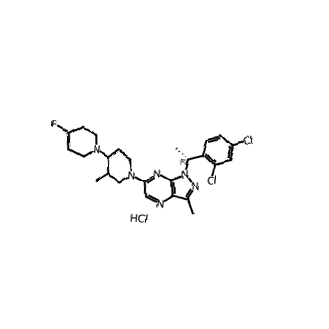 Cc1nn([C@H](C)c2ccc(Cl)cc2Cl)c2nc(N3CCC(N4CCC(F)CC4)C(C)C3)cnc12.Cl